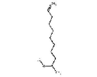 [CH2]C(CCCCCCCC=C)OC